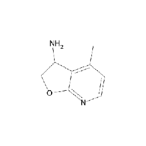 Cc1ccnc2c1C(N)CO2